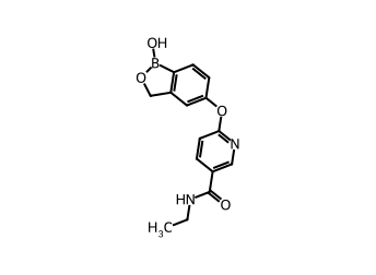 CCNC(=O)c1ccc(Oc2ccc3c(c2)COB3O)nc1